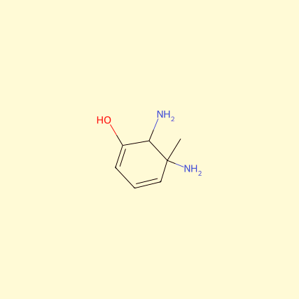 CC1(N)C=CC=C(O)C1N